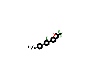 CC[C@H]1CC[C@H](c2ccc(-c3ccc4c(c3)OCC(C(F)(F)F)C4)c(F)c2)CC1